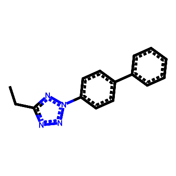 CCc1nnn(-c2ccc(-c3ccccc3)cc2)n1